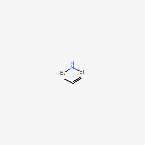 C=CC.CCNCC